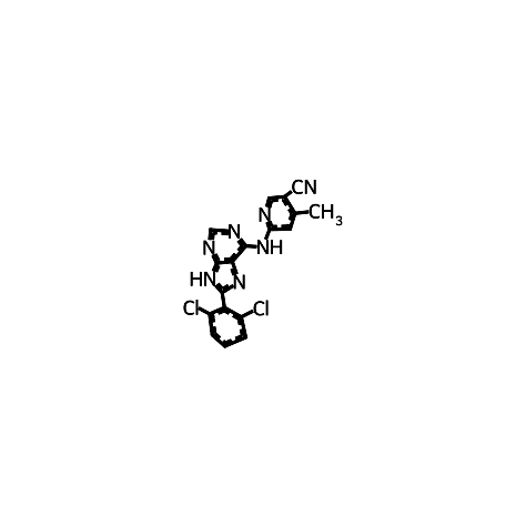 Cc1cc(Nc2ncnc3[nH]c(-c4c(Cl)cccc4Cl)nc23)ncc1C#N